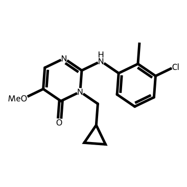 COc1cnc(Nc2cccc(Cl)c2C)n(CC2CC2)c1=O